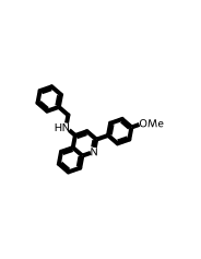 COc1ccc(-c2cc(NCc3ccccc3)c3ccccc3n2)cc1